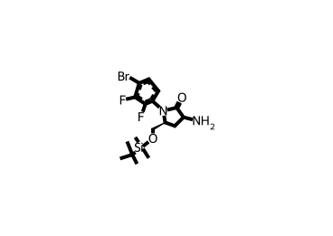 CC(C)(C)[Si](C)(C)OC[C@@H]1CC(N)C(=O)N1c1ccc(Br)c(F)c1F